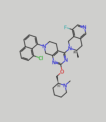 C[C@@H]1Cc2cncc(F)c2CN1c1nc(OC[C@@H]2CCCCN2C)nc2c1CCN(c1cccc3cccc(Cl)c13)C2